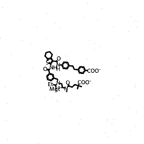 CCC(CC)N(CCN(C)C(=O)CCC(C)(C)C(=O)[O-])Cc1cccc(C(=O)Nc2sc3c(c2C(=O)Nc2ccc(CCc4ccc(C(=O)[O-])cc4)cc2)CCCC3)c1.[Mg+2]